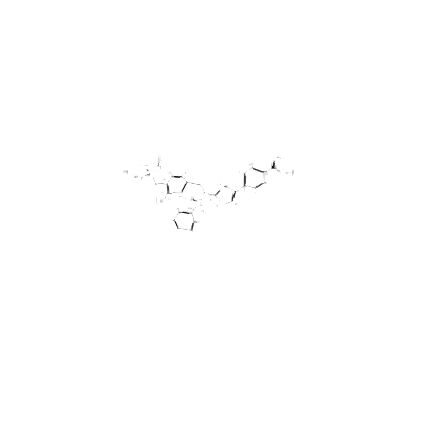 O=C(O)c1ccc(-c2csc(N(Cc3ccc(CP(=O)(OF)OF)c(Br)c3)S(=O)(=O)c3ccccc3)n2)cc1